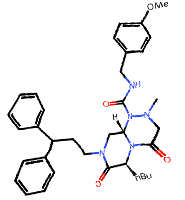 CCCC[C@H]1C(=O)N(CCC(c2ccccc2)c2ccccc2)C[C@H]2N1C(=O)CN(C)N2C(=O)NCc1ccc(OC)cc1